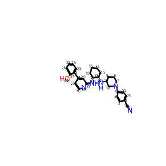 N#Cc1ccc(N2CCC[C@H](N[C@@H]3CCCC[C@H]3Nc3cc(-c4ccccc4O)ccn3)C2)cc1